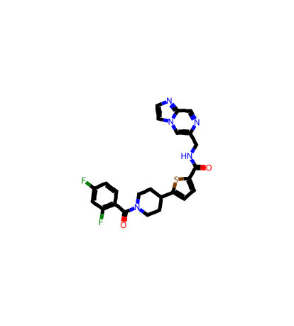 O=C(NCc1cn2ccnc2cn1)c1ccc(C2CCN(C(=O)c3ccc(F)cc3F)CC2)s1